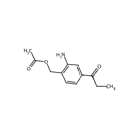 CCC(=O)c1ccc(COC(C)=O)c(N)c1